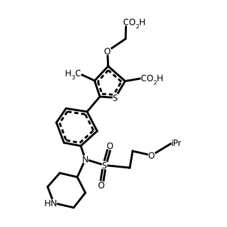 Cc1c(-c2cccc(N(C3CCNCC3)S(=O)(=O)CCOC(C)C)c2)sc(C(=O)O)c1OCC(=O)O